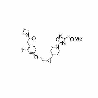 COCc1noc(N2CCC(C3C[C@H]3CCOc3ccc(CC(=O)N4CCC4)c(F)c3)CC2)n1